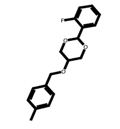 Cc1ccc(COC2COC(c3ccccc3F)OC2)cc1